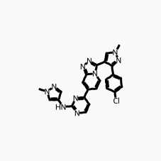 Cn1cc(Nc2nccc(-c3ccn4c(-c5cn(C)nc5-c5ccc(Cl)cc5)nnc4c3)n2)cn1